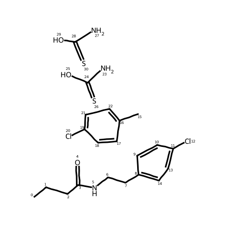 CCCC(=O)NCCc1ccc(Cl)cc1.Cc1ccc(Cl)cc1.NC(O)=S.NC(O)=S